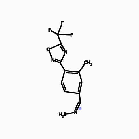 B/N=C\c1ccc(-c2noc(C(F)(F)F)n2)c(C)c1